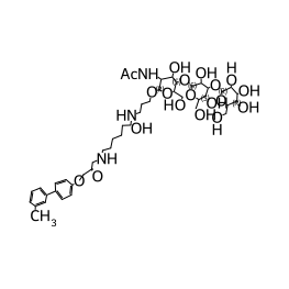 CC(=O)NC1C(O)[C@H](O[C@@H]2OC(CO)[C@H](O)C(O[C@H]3OC(CO)[C@H](O)C(O)C3O)C2O)C(CO)O[C@H]1OCCCNC(O)CCCCCNCC(=O)COc1ccc(-c2cccc(C)c2)cc1